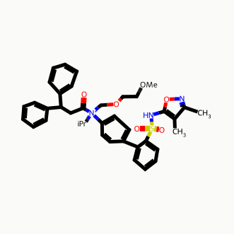 COCCOC[N+](C(=O)CC(c1ccccc1)c1ccccc1)(c1ccc(-c2ccccc2S(=O)(=O)Nc2onc(C)c2C)cc1)C(C)C